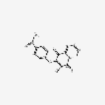 CC(=O)c1ccc(NC2=C(Cl)C(=O)c3ccccc3C2=O)cc1